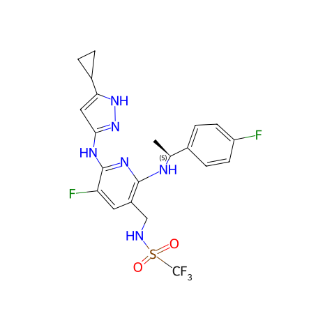 C[C@H](Nc1nc(Nc2cc(C3CC3)[nH]n2)c(F)cc1CNS(=O)(=O)C(F)(F)F)c1ccc(F)cc1